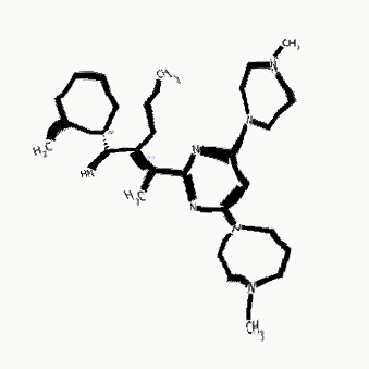 C=C1CCCC[C@@H]1C(=N)/C(CCC)=C(\C)c1nc(N2CCCN(C)CC2)cc(N2CCN(C)CC2)n1